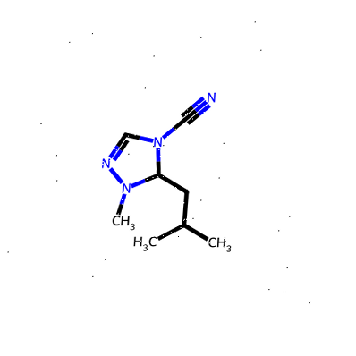 CC(C)CC1N(C#N)C=NN1C